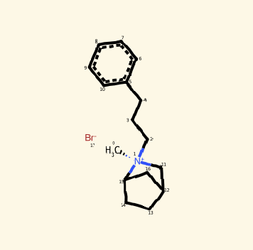 C[N@+]1(CCCc2ccccc2)CC2CCC1C2.[Br-]